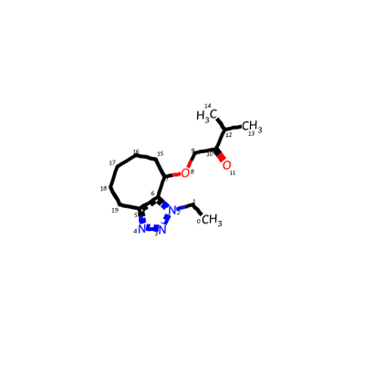 CCn1nnc2c1C(OCC(=O)C(C)C)CCCCC2